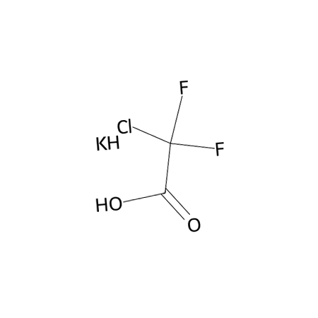 O=C(O)C(F)(F)Cl.[KH]